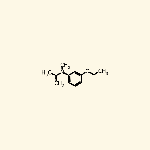 CCOc1cccc(N(C)C(C)C)c1